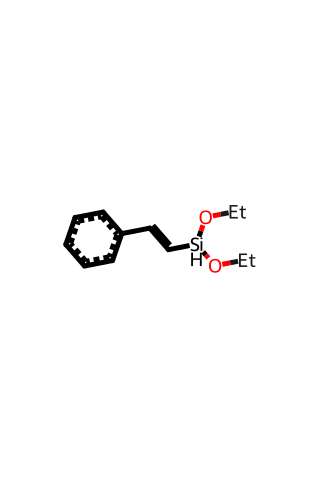 CCO[SiH](C=Cc1ccccc1)OCC